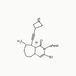 CCCCCN1C(=O)[C@H]2C(C=C1CC)CCCC(C)C2C#CC1CNC1